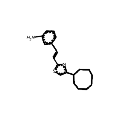 Nc1cccc(C=Cc2nc(C3CCCCCCC3)cs2)c1